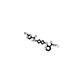 NC(=O)c1cccnc1OC1CC2(CC(NC(=O)c3cnc(Br)s3)C2)C1